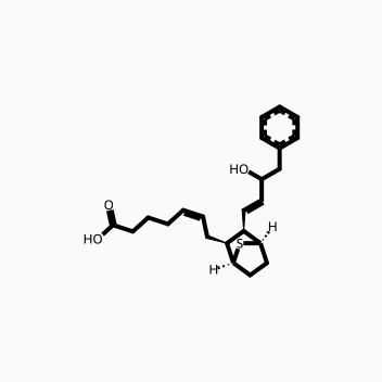 O=C(O)CCC/C=C\C[C@H]1[C@@H](/C=C/C(O)Cc2ccccc2)[C@H]2CC[C@@H]1S2